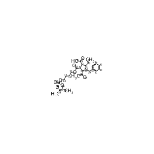 C=C[C@@H]1C(C(=O)O)C(C(=O)OCCCCOP(=O)(OCC)OCC)[C@H](C(C)=O)N1Cc1ccccc1